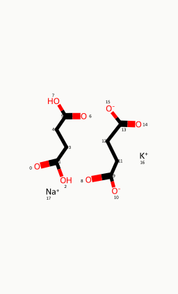 O=C(O)CCC(=O)O.O=C([O-])CCC(=O)[O-].[K+].[Na+]